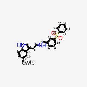 COc1ccc2[nH]cc(CCNCc3cccc(S(=O)(=O)c4ccccc4)c3)c2c1